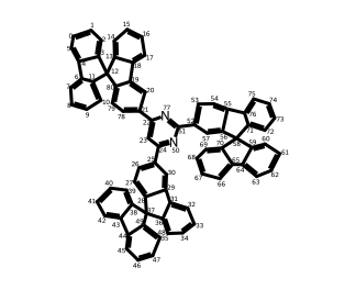 c1ccc2c(c1)-c1ccccc1C21c2ccccc2-c2cc(-c3cc(-c4ccc5c(c4)-c4ccccc4C54c5ccccc5-c5ccccc54)nc(-c4ccc5c(c4)C4(c6ccccc6-c6ccccc64)c4ccccc4-5)n3)ccc21